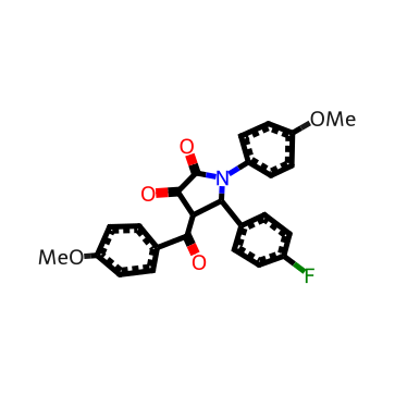 COc1ccc(C(=O)C2C(=O)C(=O)N(c3ccc(OC)cc3)C2c2ccc(F)cc2)cc1